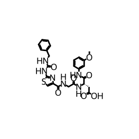 COc1cccc(NC(=O)[C@H](CC(=O)O)NC(=O)CNC(=O)c2csc(NC(=O)NCc3ccccc3)n2)c1